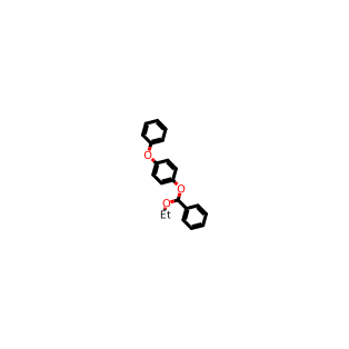 CCOC(Oc1ccc(Oc2ccccc2)cc1)c1ccccc1